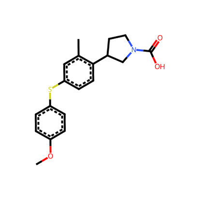 COc1ccc(Sc2ccc(C3CCN(C(=O)O)C3)c(C)c2)cc1